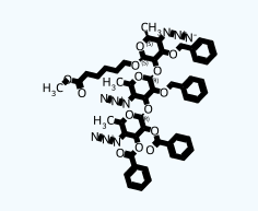 COC(=O)CCCCCO[C@H]1O[C@@H](C)C(N=[N+]=[N-])C(OCc2ccccc2)C1O[C@H]1OC(C)C(N=[N+]=[N-])C(O[C@H]2OC(C)C(N=[N+]=[N-])C(OC(=O)c3ccccc3)C2OC(=O)c2ccccc2)C1OCc1ccccc1